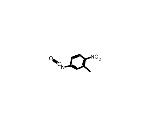 O=C=Nc1ccc([N+](=O)[O-])c(I)c1